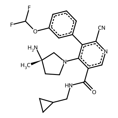 C[C@]1(N)CCN(c2c(C(=O)NCC3CC3)cnc(C#N)c2-c2cccc(OC(F)F)c2)C1